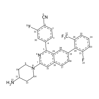 N#Cc1ccc(-c2nc(N3CCC(N)CC3)cc3ccc(-c4c(F)cccc4C(F)(F)F)cc23)cc1F